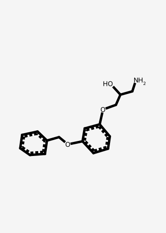 NCC(O)COc1cccc(OCc2ccccc2)c1